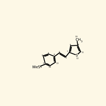 CSc1ccc(C=Cc2cc(C)cs2)cc1